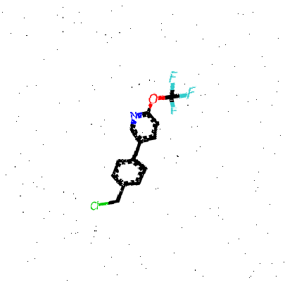 FC(F)(F)Oc1ccc(-c2ccc(CCl)cc2)cn1